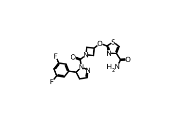 NC(=O)c1csc(OC2CN(C(=O)N3N=CCC3c3cc(F)cc(F)c3)C2)n1